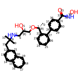 C[C@@H](OC[C@H](O)CNC(C)(C)Cc1ccc2ccccc2c1)c1ccccc1-c1ccc(C(=O)NO)cc1